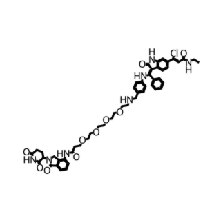 CCNC(=O)C=C(Cl)c1ccc2c(c1)NC(=O)/C2=C(\Nc1ccc(CNCCOCCOCCOCCOCCC(=O)Nc2cccc3c2CN(C2CCC(=O)NC2=O)C3=O)cc1)c1ccccc1